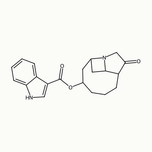 O=C(OC1CCCC2C(=O)CN3C(C1)CC23)c1c[nH]c2ccccc12